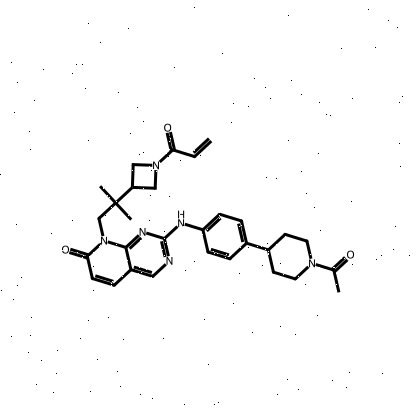 C=CC(=O)N1CC(C(C)(C)Cn2c(=O)ccc3cnc(Nc4ccc(C5CCN(C(C)=O)CC5)cc4)nc32)C1